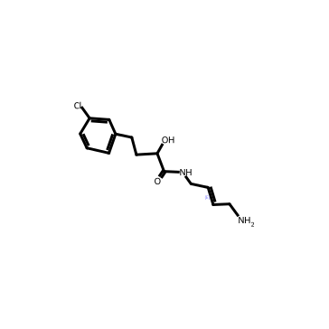 NC/C=C/CNC(=O)C(O)CCc1cccc(Cl)c1